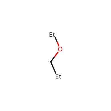 [CH2]C[CH]OCC